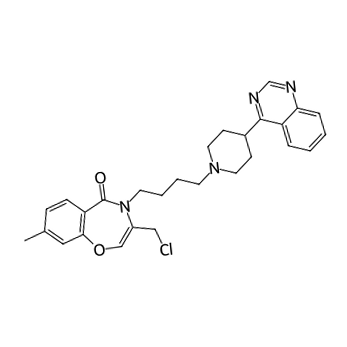 Cc1ccc2c(c1)OC=C(CCl)N(CCCCN1CCC(c3ncnc4ccccc34)CC1)C2=O